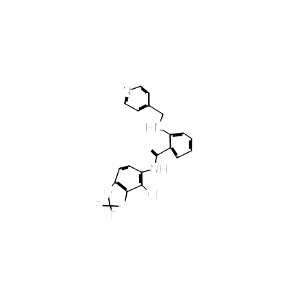 Cc1c(NC(=O)c2ccccc2NCc2ccncc2)ccc2c1OC(F)(F)O2